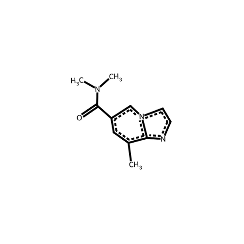 Cc1cc(C(=O)N(C)C)cn2ccnc12